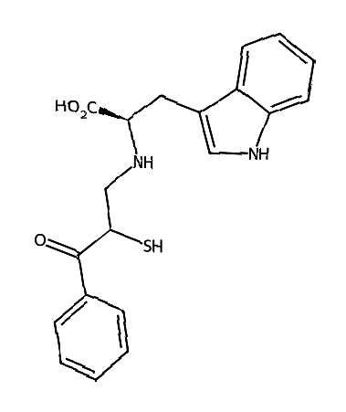 O=C(c1ccccc1)C(S)CN[C@H](Cc1c[nH]c2ccccc12)C(=O)O